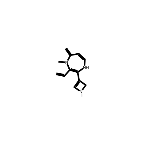 C=CC1=C(C2=CNC2)NC=CC(=C)N1C